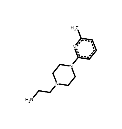 Cc1cccc(N2CCN(CCN)CC2)n1